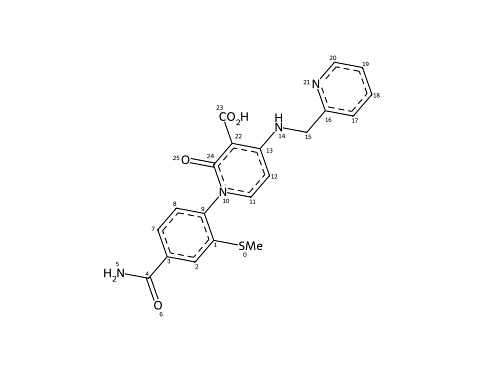 CSc1cc(C(N)=O)ccc1-n1ccc(NCc2ccccn2)c(C(=O)O)c1=O